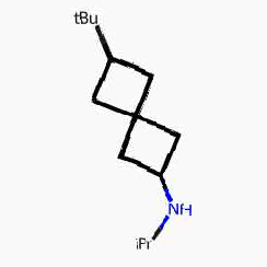 CC(C)NC1CC2(C1)CC(C(C)(C)C)C2